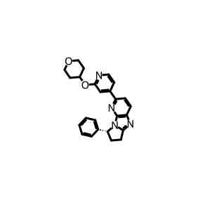 c1ccc([C@H]2CCc3nc4ccc(-c5ccnc(OC6CCOCC6)c5)nc4n32)cc1